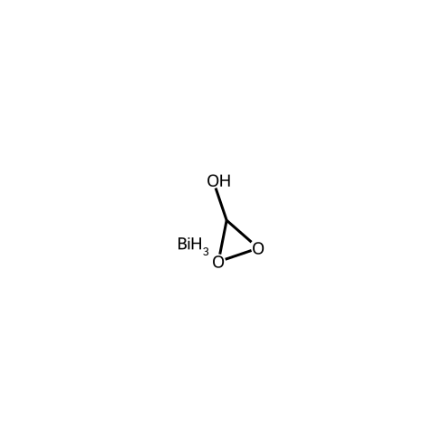 OC1OO1.[BiH3]